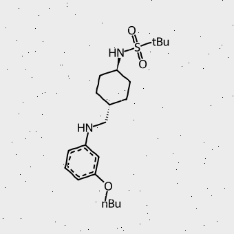 CCCCOc1cccc(NC[C@H]2CC[C@H](NS(=O)(=O)C(C)(C)C)CC2)c1